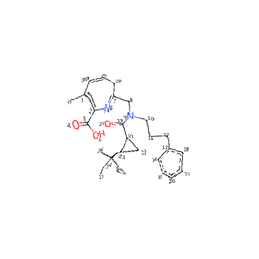 CC1=C(C(=O)O)N=C(CN(CCCc2ccccc2)C(=O)C2C[C@H]2C(C)(C)C)CC=C1